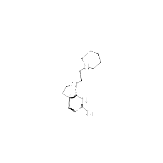 Brc1ccc2c(n1)N(CCN1CCCCC1)CC2